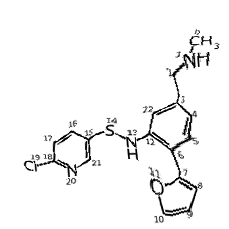 CNCc1ccc(-c2ccco2)c(NSc2ccc(Cl)nc2)c1